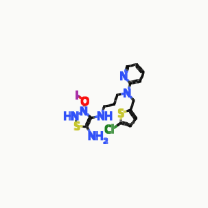 NC1=C(NCCCN(Cc2ccc(Cl)s2)c2ccccn2)N(OI)NS1